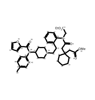 CCOC(=O)CN(C(=O)CC1(CC(=O)OC)CCCCC1)c1ccccc1CCN1CCC(N(C(=O)c2ccco2)c2ccc(C)cn2)CC1